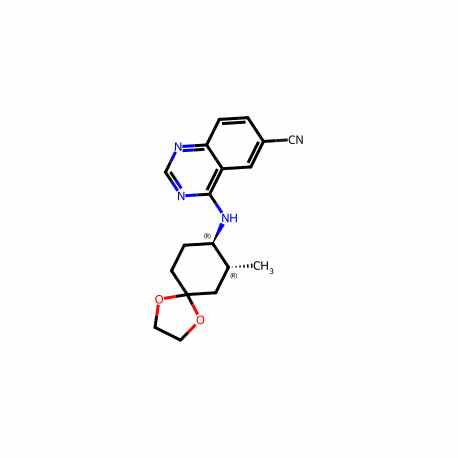 C[C@@H]1CC2(CC[C@H]1Nc1ncnc3ccc(C#N)cc13)OCCO2